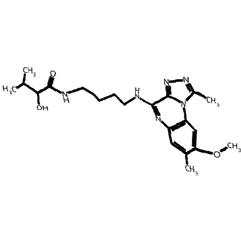 COc1cc2c(cc1C)nc(NCCCCNC(=O)C(O)C(C)C)c1nnc(C)n12